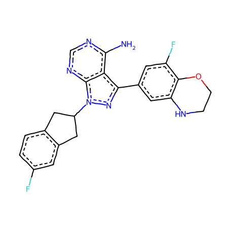 Nc1ncnc2c1c(-c1cc(F)c3c(c1)NCCO3)nn2C1Cc2ccc(F)cc2C1